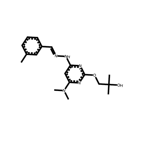 Cc1cccc(C=NNc2cc(N(C)C)nc(OCC(C)(C)O)n2)c1